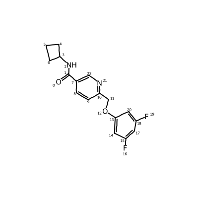 O=C(NC1CCC1)c1ccc(COc2cc(F)cc(F)c2)nc1